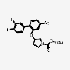 CCCCOC(=O)N1CCC(Oc2cc(C(C)=O)ccc2-c2ccc(F)c(F)c2)C1